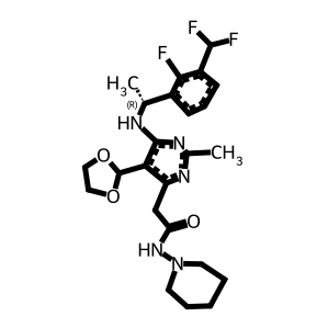 Cc1nc(CC(=O)NN2CCCCC2)c(C2OCCO2)c(N[C@H](C)c2cccc(C(F)F)c2F)n1